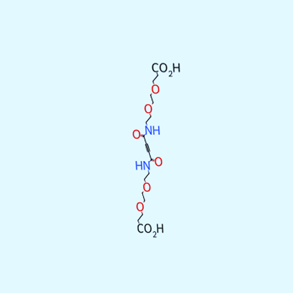 O=C(O)CCOCCOCCNC(=O)C#CC(=O)NCCOCCOCCC(=O)O